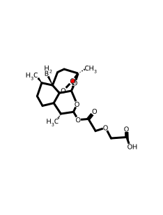 B[C@@]12CC[C@]3(C)OO[C@@]14C(CC[C@H]2C)[C@@H](C)C(OC(=O)COCC(=O)O)O[C@@H]4O3